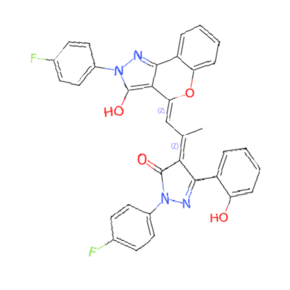 CC(/C=C1\Oc2ccccc2-c2nn(-c3ccc(F)cc3)c(O)c21)=C1/C(=O)N(c2ccc(F)cc2)N=C1c1ccccc1O